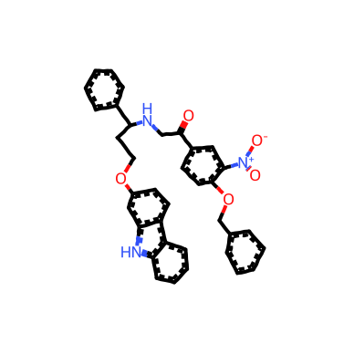 O=C(CNC(CCOc1ccc2c(c1)[nH]c1ccccc12)c1ccccc1)c1ccc(OCc2ccccc2)c([N+](=O)[O-])c1